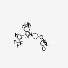 CNc1cc2c(cn1)c(-c1cncc(C(F)(F)F)c1)nn2C1CCC(Oc2ccc(=O)n(C)n2)CC1